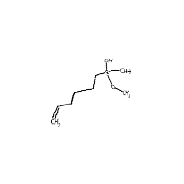 C=CCCCC[Si](O)(O)OC